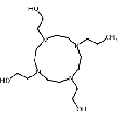 CCCN1CCN(CCO)CCN(CCO)CCN(CCO)CC1